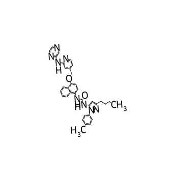 CCCCc1cc(NC(=O)Nc2ccc(OCc3ccnc(Nc4cnccn4)c3)c3ccccc23)n(-c2ccc(C)cc2)n1